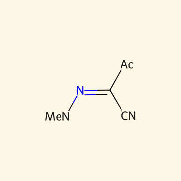 CN/N=C(\C#N)C(C)=O